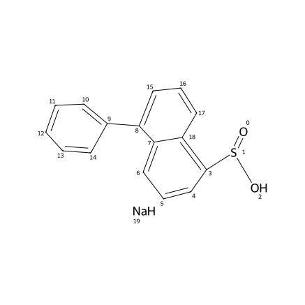 O=S(O)c1cccc2c(-c3ccccc3)cccc12.[NaH]